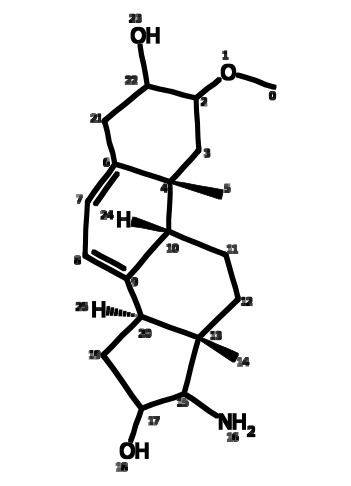 COC1C[C@@]2(C)C(=CC=C3[C@H]2CC[C@]2(C)C(N)C(O)C[C@@H]32)CC1O